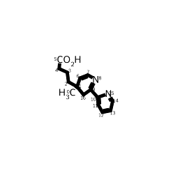 CC1(CCCC(=O)O)C=CN=C(c2ccccn2)C1